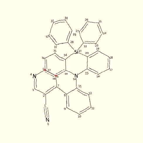 N#Cc1cnccc1-c1ccccc1N1c2ccccc2[Si](c2ccccc2)(c2ccccc2)c2ccccc21